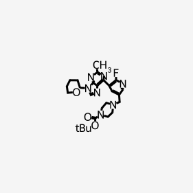 Cc1nc(-c2cc(CN3CCN(C(=O)OC(C)(C)C)CC3)cnc2F)c2ncn(C3CCCCO3)c2n1